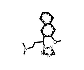 COc1cc2ccccc2cc1C(CCN(C)C)n1ncnn1